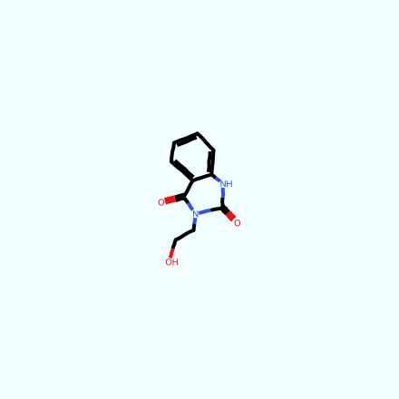 O=c1[nH]c2ccccc2c(=O)n1CCO